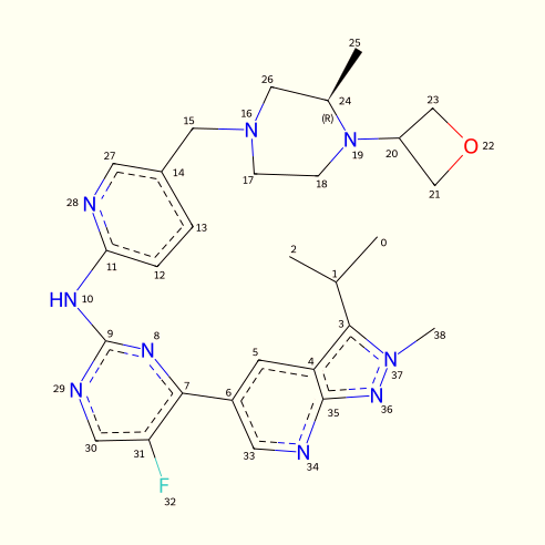 CC(C)c1c2cc(-c3nc(Nc4ccc(CN5CCN(C6COC6)[C@H](C)C5)cn4)ncc3F)cnc2nn1C